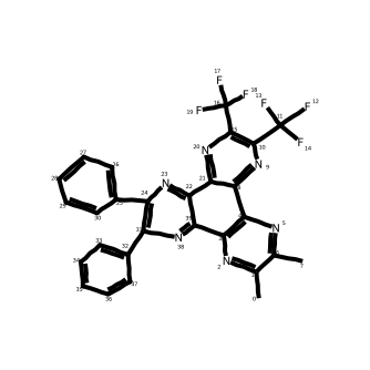 Cc1nc2c(nc1C)c1nc(C(F)(F)F)c(C(F)(F)F)nc1c1nc(-c3ccccc3)c(-c3ccccc3)nc21